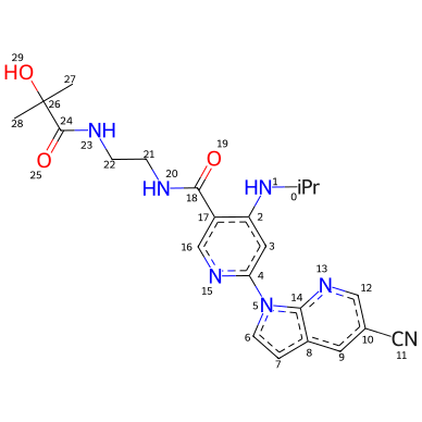 CC(C)Nc1cc(-n2ccc3cc(C#N)cnc32)ncc1C(=O)NCCNC(=O)C(C)(C)O